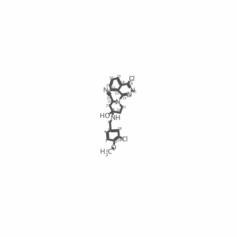 COc1ccc(CNC2(O)CCN(c3nnc(Cl)c4ccccc34)C(C#N)C2)cc1Cl